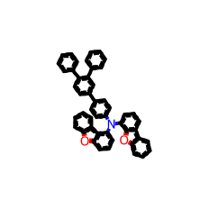 c1ccc(-c2ccc(-c3ccc(N(c4cccc5c4oc4ccccc45)c4cccc5oc6ccccc6c45)cc3)cc2-c2ccccc2)cc1